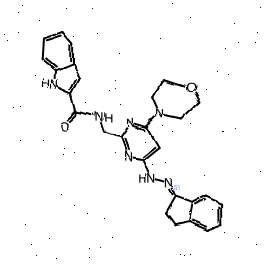 O=C(NCc1nc(N/N=C2\CCc3ccccc32)cc(N2CCOCC2)n1)c1cc2ccccc2[nH]1